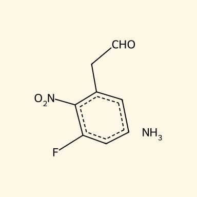 N.O=CCc1cccc(F)c1[N+](=O)[O-]